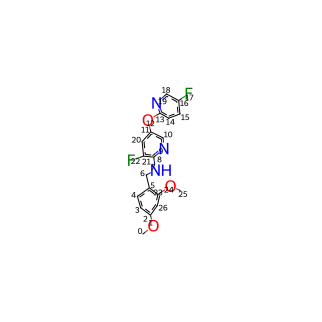 COc1ccc(CNc2ncc(Oc3ccc(F)cn3)cc2F)c(OC)c1